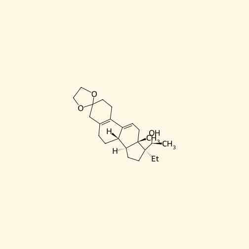 CC[C@]1([C@H](C)O)CC[C@H]2[C@@H]3CCC4=C(CCC5(C4)OCCO5)C3=CC[C@@]21C